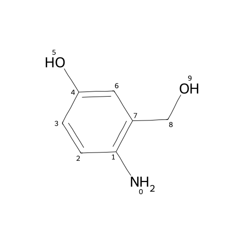 Nc1ccc(O)cc1CO